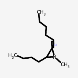 CCCC/C=C1\C(CCCC)N1C